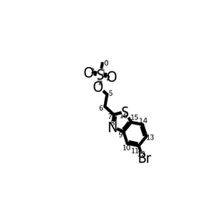 CS(=O)(=O)OCCc1nc2cc(Br)ccc2s1